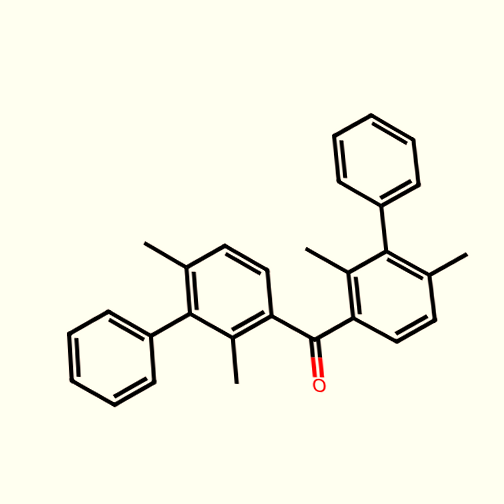 Cc1ccc(C(=O)c2ccc(C)c(-c3ccccc3)c2C)c(C)c1-c1ccccc1